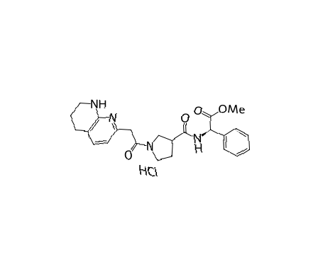 COC(=O)[C@H](NC(=O)C1CCN(C(=O)Cc2ccc3c(n2)NCCC3)C1)c1ccccc1.Cl